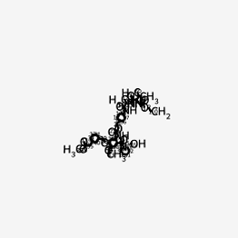 C=CCOC(=O)NC(C(=O)NC(C)C(=O)Nc1ccc(COC(=O)Nc2cc(OCc3cccc(CC(=O)OC)c3)c(OC)cc2C(=O)N2CCCC[C@H]2CO)cc1)C(C)C